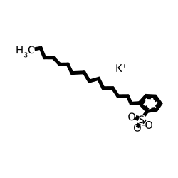 CCCCCCCCCCCCCCCc1ccccc1S(=O)(=O)[O-].[K+]